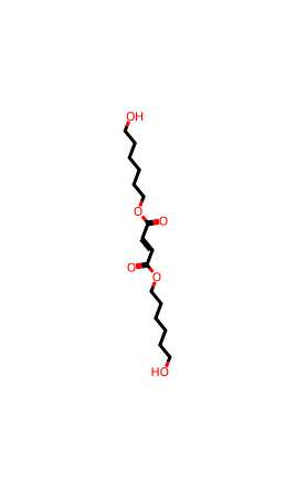 O=C(C=CC(=O)OCCCCCCO)OCCCCCCO